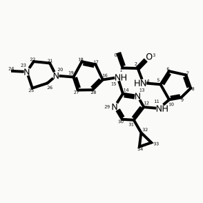 C=CC(=O)Nc1ccccc1Nc1nc(Nc2ccc(N3CCN(C)CC3)cc2)ncc1C1CC1